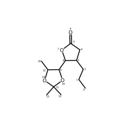 CCCC1CC(=O)OC1C1OC(C)(C)OC1C